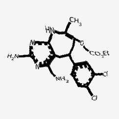 CCOC(=O)OC1=C(C)Nc2nc(N)nc(N)c2C1c1ccc(Cl)c(Cl)c1